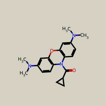 CN(C)c1ccc2c(c1)Oc1cc(N(C)C)ccc1N2C(=O)C1CC1